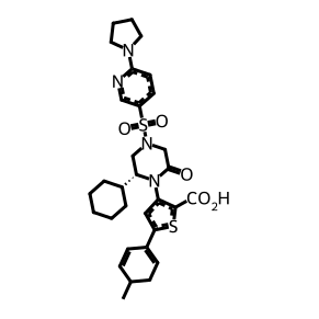 CC1C=CC(c2cc(N3C(=O)CN(S(=O)(=O)c4ccc(N5CCCC5)nc4)C[C@H]3C3CCCCC3)c(C(=O)O)s2)=CC1